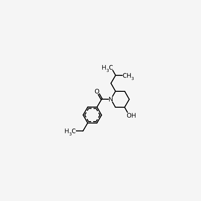 CCc1ccc(C(=O)N2CC(O)CCC2CC(C)C)cc1